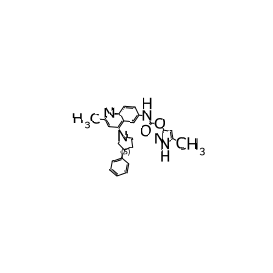 Cc1cc(N2CC[C@@H](c3ccccc3)C2)c2cc(NC(=O)Oc3cc(C)[nH]n3)ccc2n1